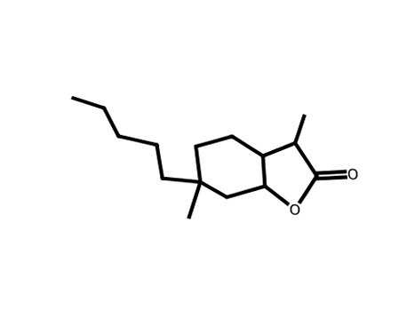 CCCCCC1(C)CCC2C(C1)OC(=O)C2C